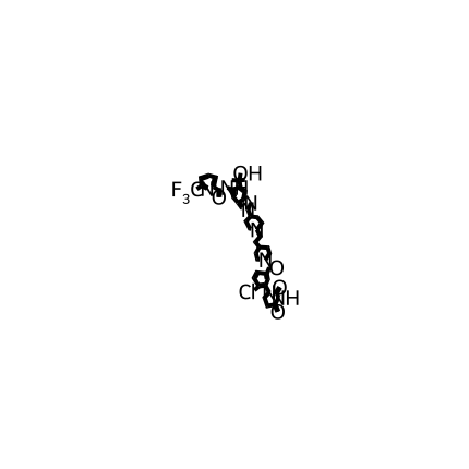 CC(C)(O)c1cc2nn(C3CCN(CCC4CCN(C(=O)c5ccc(Cl)c(N6CCC(=O)NC6=O)c5)CC4)CC3)cc2cc1NC(=O)c1cccc(C(F)(F)F)n1